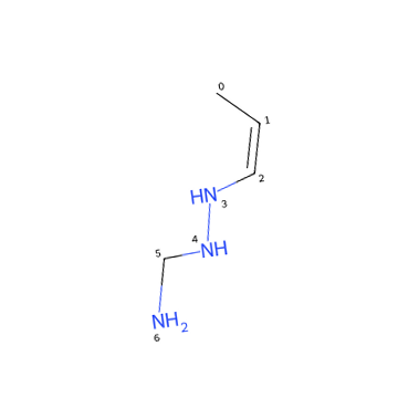 C/C=C\NNCN